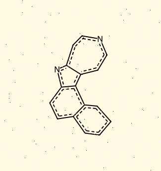 c1ccc2c(c1)ccc1nc3ccnccc-3c12